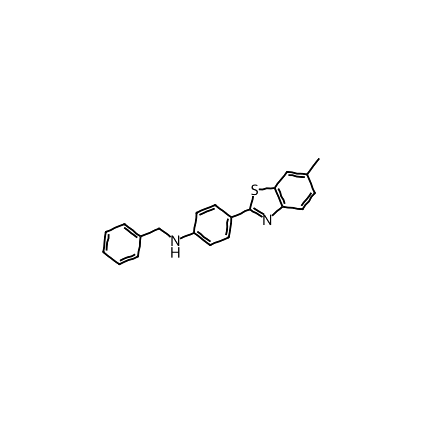 Cc1ccc2nc(-c3ccc(NCc4ccccc4)cc3)sc2c1